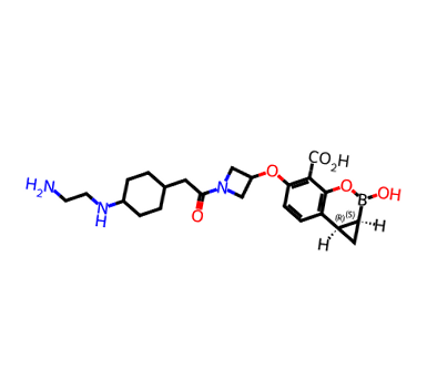 NCCNC1CCC(CC(=O)N2CC(Oc3ccc4c(c3C(=O)O)OB(O)[C@H]3C[C@@H]43)C2)CC1